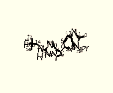 Cc1nc2ccc(-c3ccn4nc(NCC(C)(C)F)ncc34)nc2n1C(C)C